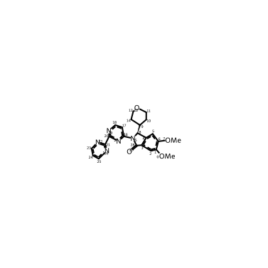 COc1cc2c(cc1OC)[C@H](C1CCOCC1)N(c1ccnc(-c3ncccn3)n1)C2=O